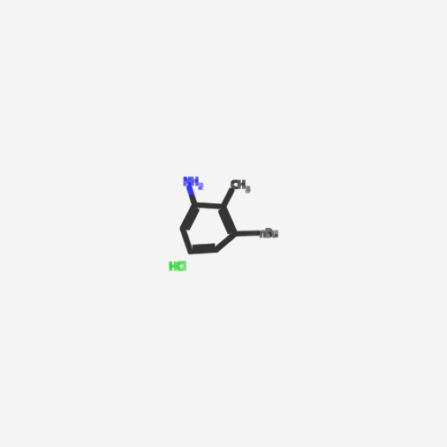 CCCCc1cccc(N)c1C.Cl